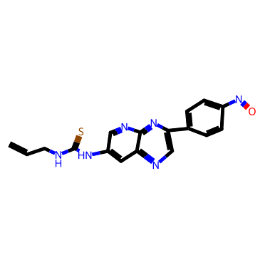 C=CCNC(=S)Nc1cnc2nc(-c3ccc(N=O)cc3)cnc2c1